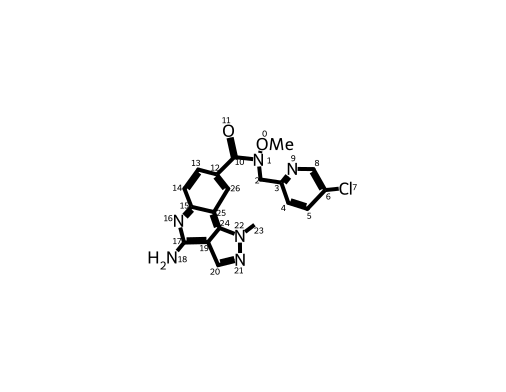 CON(Cc1ccc(Cl)cn1)C(=O)c1ccc2nc(N)c3cnn(C)c3c2c1